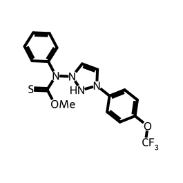 COC(=S)N(c1ccccc1)N1C=CN(c2ccc(OC(F)(F)F)cc2)N1